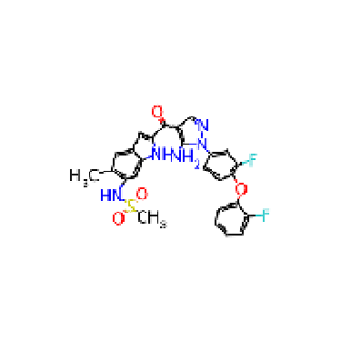 Cc1cc2cc(C(=O)c3cnn(-c4ccc(Oc5ccccc5F)c(F)c4)c3N)[nH]c2cc1NS(C)(=O)=O